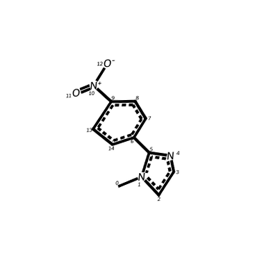 Cn1ccnc1-c1ccc([N+](=O)[O-])cc1